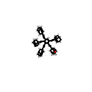 C(#CC12CC3CC(CC(C3)C1)C2)c1[c]c(C#CC23CC4CC(CC(C4)C2)C3)c(C#CC23CC4CC(CC(C4)C2)C3)c(C#CC23CC4CC(CC(C4)C2)C3)c1C#CC12CC3CC(CC(C3)C1)C2